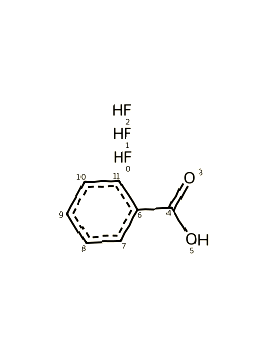 F.F.F.O=C(O)c1ccccc1